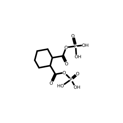 O=C(OP(=O)(O)O)C1CCCCC1C(=O)OP(=O)(O)O